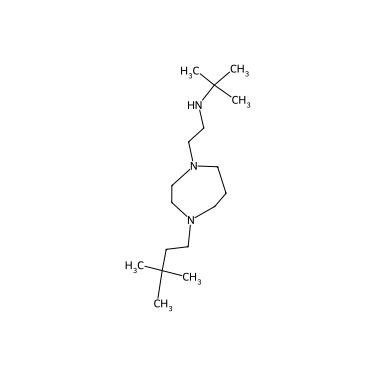 CC(C)(C)CCN1CCCN(CCNC(C)(C)C)CC1